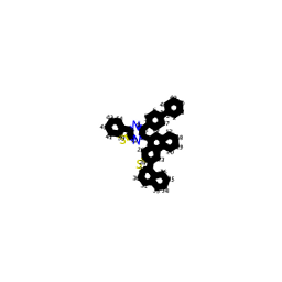 c1ccc(-c2ccc(-c3nc4c(nc3-c3cc5ccccc5c5cc6c(cc35)sc3ccc5ccccc5c36)sc3ccccc34)cc2)cc1